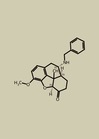 COc1ccc2c3c1O[C@@H]1C(=O)CC[C@H]([C@@H](NCc4ccccc4)C2)C31C